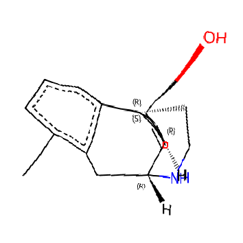 Cc1cccc2c1C[C@H]1NCC[C@@]23C[C@@H](O)C=C[C@@H]13